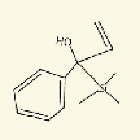 C=CC(O)(c1ccccc1)[Si](C)(C)C